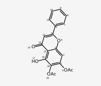 CC(=O)Oc1cc2oc(-c3ccccc3)cc(=O)c2c(O)c1OC(C)=O